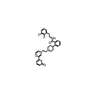 O=C1C=CC=C(C2=CN(CCN3CCC(c4ccccc4C(=O)NCCc4cccc(F)c4F)CC3)C=CO2)C1